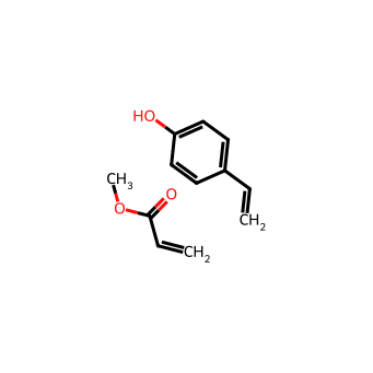 C=CC(=O)OC.C=Cc1ccc(O)cc1